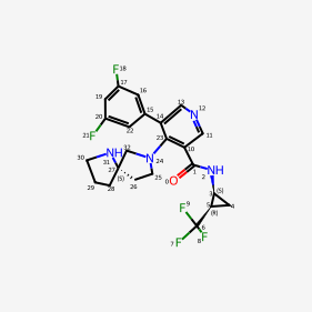 O=C(N[C@H]1C[C@H]1C(F)(F)F)c1cncc(-c2cc(F)cc(F)c2)c1N1CC[C@@]2(CCCN2)C1